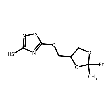 CCC1(C)OCC(COc2nc(S)ns2)O1